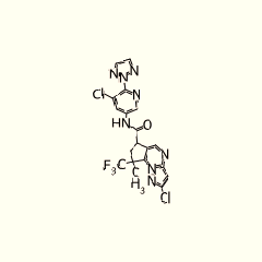 CC1(C(F)(F)F)CC(C(=O)Nc2cnc(-n3nccn3)c(Cl)c2)c2cnc3cc(Cl)nn3c21